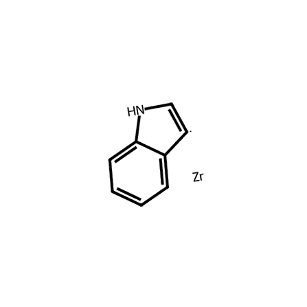 [Zr].[c]1c[nH]c2ccccc12